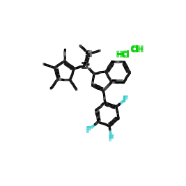 CC1=C(C)C(C)[C]([Zr]([CH]2C=C(c3cc(F)c(F)cc3F)c3ccccc32)=[Si](C)C)=C1C.Cl.Cl